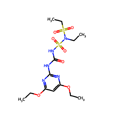 CCOc1cc(OCC)nc(NC(=O)NS(=O)(=O)N(CC)S(=O)(=O)CC)n1